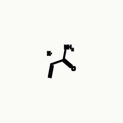 C=CC(N)=O.[K]